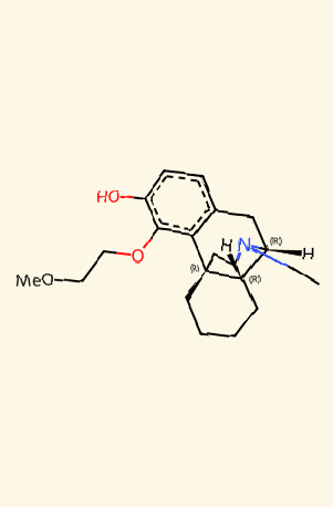 COCCOc1c(O)ccc2c1[C@@]13CCCC[C@H]1[C@@H](C2)N(C)CC3